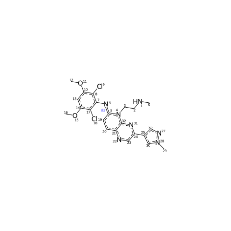 CNCCn1/c(=N/c2c(Cl)c(OC)cc(OC)c2Cl)ccc2ncc(-c3cnn(C)c3)nc21